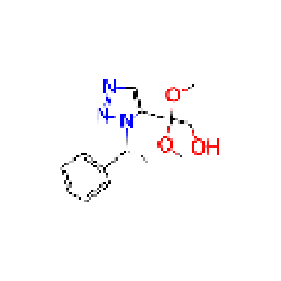 COC(CO)(OC)c1cnnn1[C@H](C)c1ccccc1